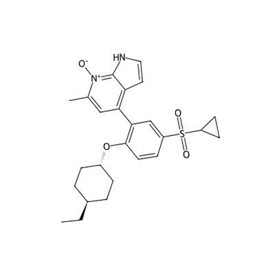 CC[C@H]1CC[C@H](Oc2ccc(S(=O)(=O)C3CC3)cc2-c2cc(C)[n+]([O-])c3[nH]ccc23)CC1